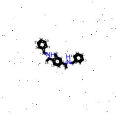 Cc1cc(C(C)NCc2ccccc2)ccc1C(C)NCc1ccccc1